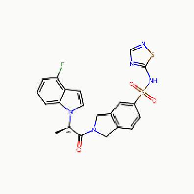 C[C@H](C(=O)N1Cc2ccc(S(=O)(=O)Nc3ncns3)cc2C1)n1ccc2c(F)cccc21